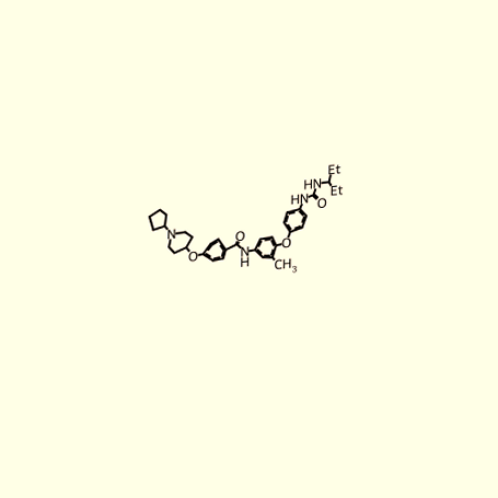 CCC(CC)NC(=O)Nc1ccc(Oc2ccc(NC(=O)c3ccc(OC4CCN(C5CCCC5)CC4)cc3)cc2C)cc1